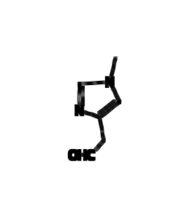 Cn1cnc(CC=O)c1